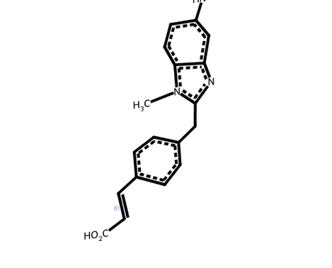 Cn1c(Cc2ccc(/C=C/C(=O)O)cc2)nc2cc(NC(=O)O)ccc21